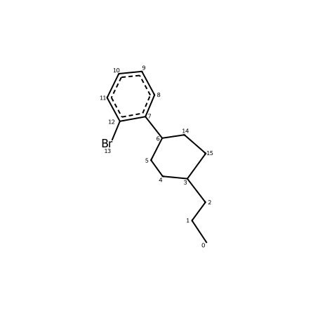 CCCC1CCC(c2ccccc2Br)CC1